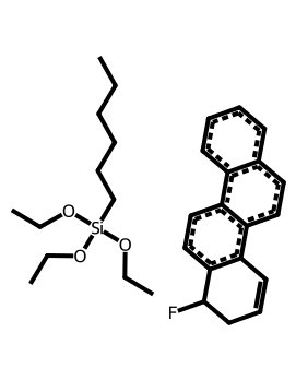 CCCCCC[Si](OCC)(OCC)OCC.FC1CC=Cc2c1ccc1c2ccc2ccccc21